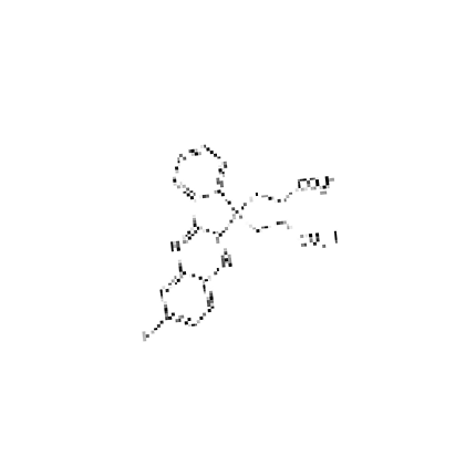 O=C(O)CCC1(CCC(=O)O)c2ccccc2-c2nc3cc(F)ccc3nc21